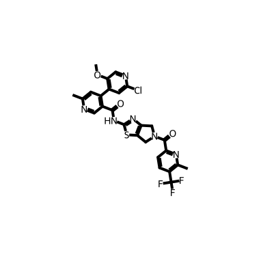 COc1cnc(Cl)cc1-c1cc(C)ncc1C(=O)Nc1nc2c(s1)CN(C(=O)c1ccc(C(F)(F)F)c(C)n1)C2